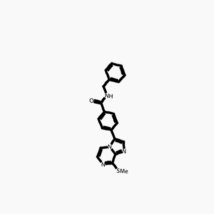 CSc1nccn2c(-c3ccc(C(=O)NCc4ccccc4)cc3)cnc12